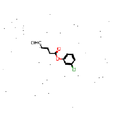 O=CCCCC(=O)Oc1cccc(Cl)c1